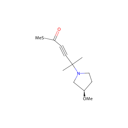 CO[C@@H]1CCN(C(C)(C)C#CC(=O)SC)C1